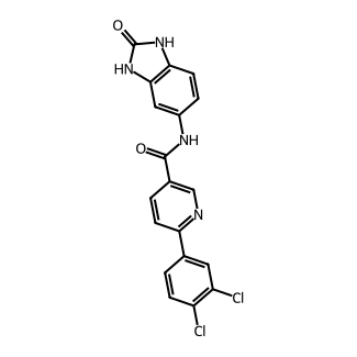 O=C(Nc1ccc2[nH]c(=O)[nH]c2c1)c1ccc(-c2ccc(Cl)c(Cl)c2)nc1